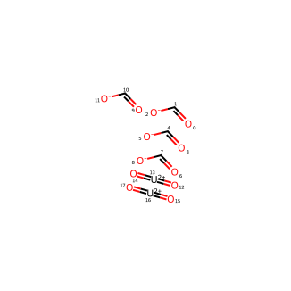 O=C[O-].O=C[O-].O=C[O-].O=C[O-].[O]=[U+2]=[O].[O]=[U+2]=[O]